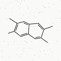 Cc1cc2cc(C)c(C)cc2cc1C